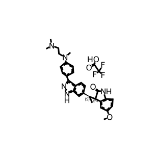 COc1ccc2c(c1)[C@]1(C[C@H]1c1ccc3c(-c4ccc(N(C)CCN(C)C)cc4)n[nH]c3c1)C(=O)N2.O=C(O)C(F)(F)F